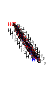 CCC(=O)NCCN(CCN(CCN(CCN(CCN(CCN(CCN(CCN(CCN(CCN(CCN(CCN(CCN(CCN(CCN(CCN(CCN(CCN(CCN(CCSCCC(=O)O)C(=O)CC)C(=O)CC)C(=O)CC)C(=O)CC)C(=O)CC)C(=O)CC)C(=O)CC)C(=O)CC)C(=O)CC)C(=O)CC)C(=O)CC)C(=O)CC)C(=O)CC)C(=O)CC)C(=O)CC)C(=O)CC)C(=O)CC)C(=O)CC)C(=O)CC